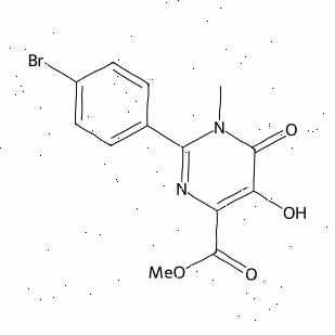 COC(=O)c1nc(-c2ccc(Br)cc2)n(C)c(=O)c1O